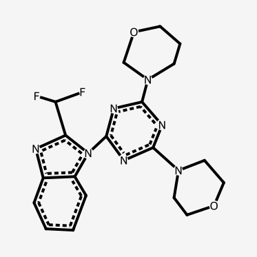 FC(F)c1nc2ccccc2n1-c1nc(N2CCOCC2)nc(N2CCCOC2)n1